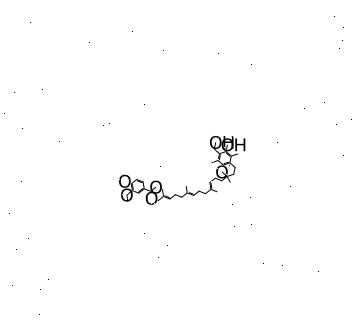 COc1ccc(C2OCC(=CCC/C(C)=C/CC/C(C)=C/CCC3(C)CCc4c(C)c(O)c(CO)c(C)c4O3)CO2)cc1OC